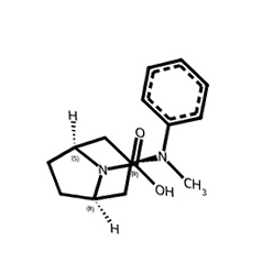 CN(c1ccccc1)[C@H]1C[C@H]2CC[C@@H](C1)N2C(=O)O